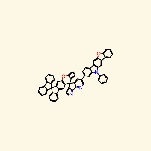 c1ccc(-n2c3cc(-c4cnc5c(c4)C4(c6ccccc6Oc6cc7c(cc64)-c4ccccc4C74c6ccccc6-c6ccccc64)c4cccnc4-5)ccc3c3cc4oc5ccccc5c4cc32)cc1